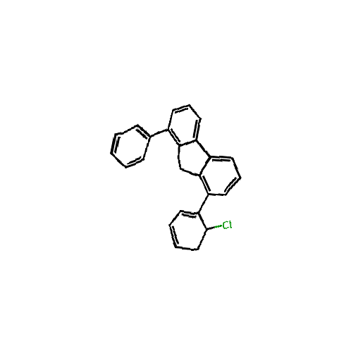 ClC1CC=CC=C1c1cccc2c1Cc1c(-c3ccccc3)cccc1-2